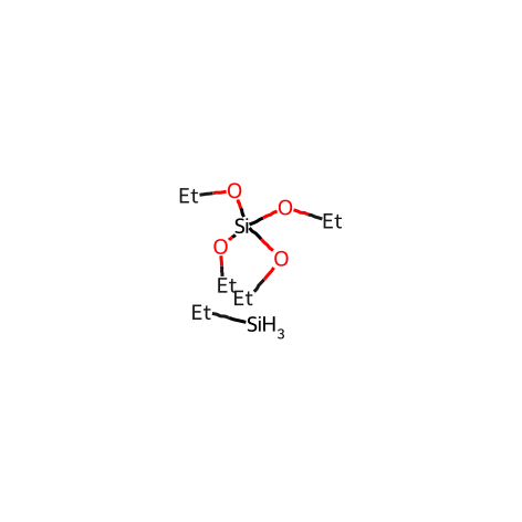 CCO[Si](OCC)(OCC)OCC.CC[SiH3]